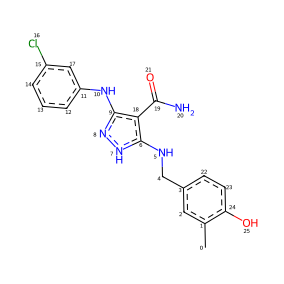 Cc1cc(CNc2[nH]nc(Nc3cccc(Cl)c3)c2C(N)=O)ccc1O